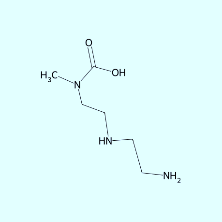 CN(CCNCCN)C(=O)O